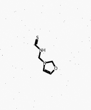 S=[C]NCN1C=COC1